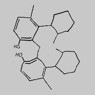 Cc1ccc(O)c(Cc2c(O)ccc(C)c2C2CCCCC2C)c1C1CCCCC1C